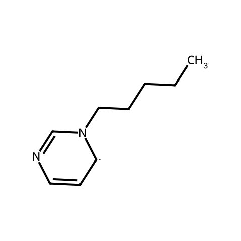 CCCCCN1[CH]C=CN=C1